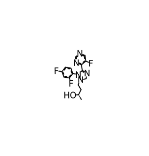 C[C@@H](O)CCN1CN=C(c2ncncc2F)N1c1ccc(F)cc1F